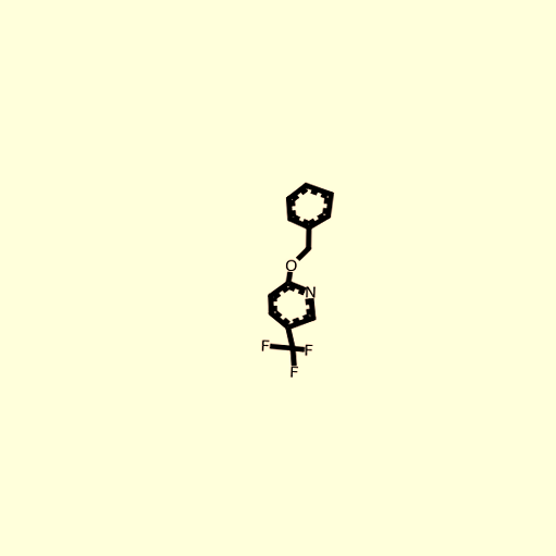 FC(F)(F)c1ccc(OCc2ccccc2)nc1